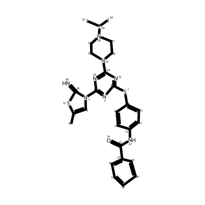 Cc1cn(-c2nc(Sc3ccc(NC(=O)c4ccccc4)cc3)nc(N3CCN(I(I)I)CC3)n2)c(=N)s1